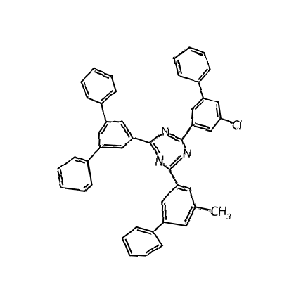 Cc1cc(-c2ccccc2)cc(-c2nc(-c3cc(Cl)cc(-c4ccccc4)c3)nc(-c3cc(-c4ccccc4)cc(-c4ccccc4)c3)n2)c1